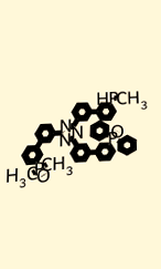 CPc1cccc(-c2cccc(-c3nc(-c4cccc(-c5cccc(P(C)(C)=O)c5)c4)nc(-c4cccc(-c5cccc(P(=O)(c6ccccc6)c6ccccc6)c5)c4)n3)c2)c1